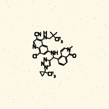 Cn1ccc2c(C(Nc3cc(Cl)c4ncc(C#N)c(NCC(C)(C)C(F)(F)F)c4c3)c3cn(C4(C(F)(F)F)CC4)nn3)cccc2c1=O